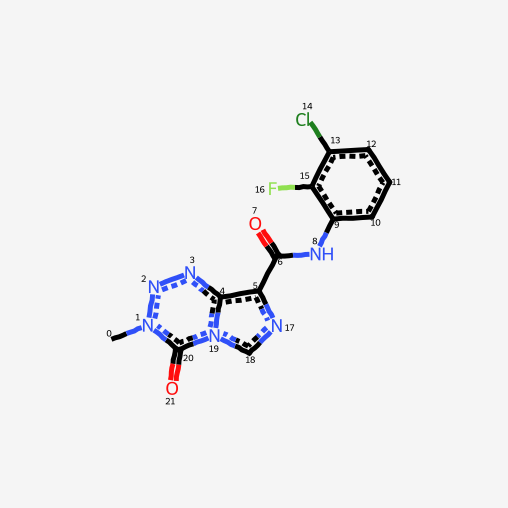 Cn1nnc2c(C(=O)Nc3cccc(Cl)c3F)ncn2c1=O